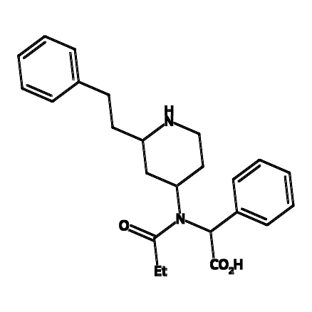 CCC(=O)N(C1CCNC(CCc2ccccc2)C1)C(C(=O)O)c1ccccc1